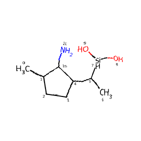 CC1CCC(C(C)[SiH](O)O)C1N